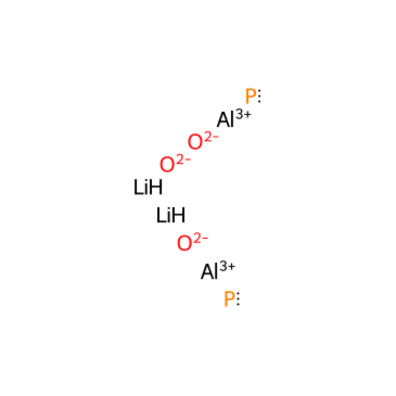 [Al+3].[Al+3].[LiH].[LiH].[O-2].[O-2].[O-2].[P].[P]